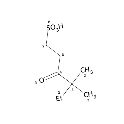 CCC(C)(C)C(=O)CCS(=O)(=O)O